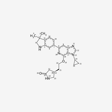 CC1(C)CNc2cc(-c3cc4ncn(C5CC5)c4c(OCC[C@H]4CNC(=O)C4)n3)ccc21